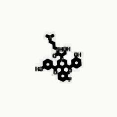 Cc1c(F)cccc1C1C(C(=O)c2cccc(O)c2)CN(C(CO)C(=O)NCCCN(C)C)CC1C(=O)c1cccc(O)c1